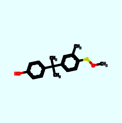 COSc1ccc(C(C)(C)c2ccc(O)cc2)cc1C